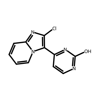 Oc1nccc(-c2c(Cl)nc3ccccn23)n1